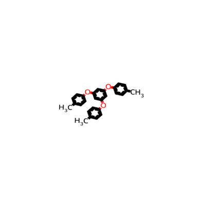 Cc1ccc(Oc2cc(Oc3ccc(C)cc3)cc(Oc3ccc(C)cc3)c2)cc1